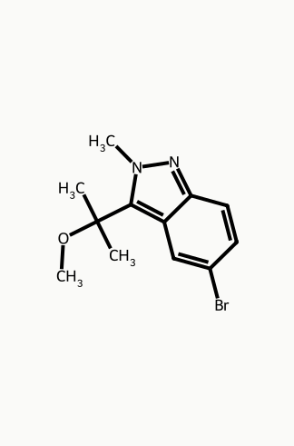 COC(C)(C)c1c2cc(Br)ccc2nn1C